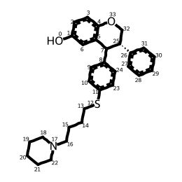 Oc1ccc2c(c1)C(c1ccc(SCCCCN3CCCCC3)cc1)[C@@H](c1ccccc1)CO2